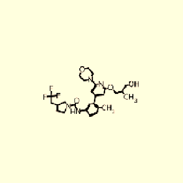 Cc1ccc(NC(=O)N2CCC(CC(F)(F)F)C2)cc1-c1cc(OCC(C)CO)nc(N2CCOCC2)c1